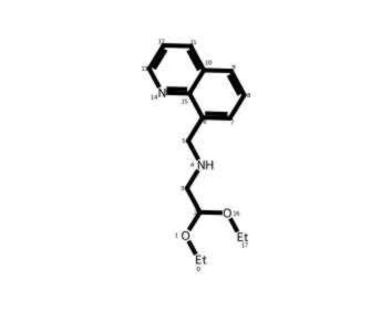 CCOC(CNCc1cccc2cccnc12)OCC